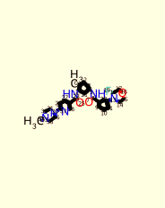 Cc1ccc(NC(=O)c2cccc(N3CCOCC3F)c2)cc1NC(=O)c1ccc(N2CCN(C)CC2)nc1